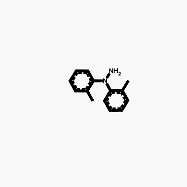 Cc1ccccc1N(N)c1ccccc1C